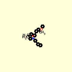 Cc1c(Oc2ccccc2)ccc2ccc(-c3ccc(N(c4ccc(-c5ccc6ccccc6c5)cc4)c4cccc5c4-c4ccccc4C5(C)C)cc3)cc12